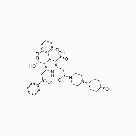 O=C1CCC(N2CCN(C(=O)CC3=C(C(=O)O)C(c4c(Cl)cccc4Cl)C(C(=O)O)=C(C[S+]([O-])c4ccccc4)N3)CC2)CC1